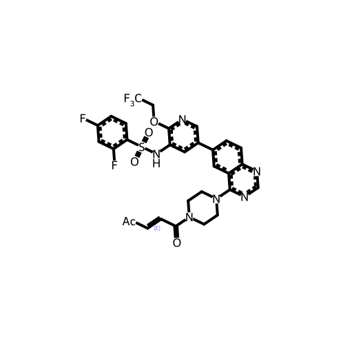 CC(=O)/C=C/C(=O)N1CCN(c2ncnc3ccc(-c4cnc(OCC(F)(F)F)c(NS(=O)(=O)c5ccc(F)cc5F)c4)cc23)CC1